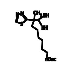 CCCCCCCCCCCCCCCCC(C)(c1nncs1)C(S)S